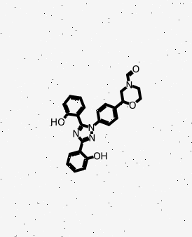 O=CN1CCOC(c2ccc(-n3nc(-c4ccccc4O)nc3-c3ccccc3O)cc2)C1